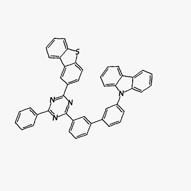 c1ccc(-c2nc(-c3cccc(-c4cccc(-n5c6ccccc6c6ccccc65)c4)c3)nc(-c3ccc4sc5ccccc5c4c3)n2)cc1